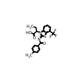 CCC(C(=O)O)n1/c(=N/C(=O)c2ccc(C)cc2)sc2c(C(F)(F)F)cccc21